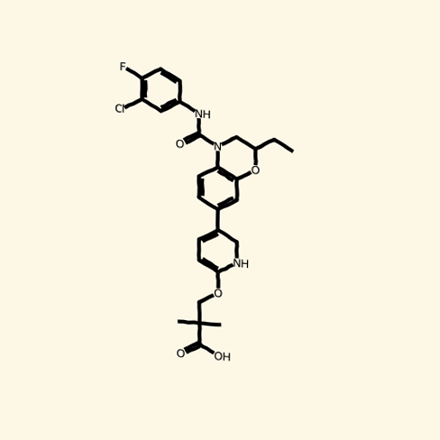 CCC1CN(C(=O)Nc2ccc(F)c(Cl)c2)c2ccc(C3=CC=C(OCC(C)(C)C(=O)O)NC3)cc2O1